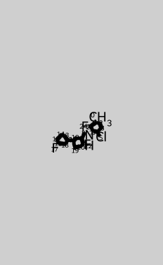 Cc1ccc(Cl)c(NCc2cc(-c3cccc(F)c3)ccc2F)c1F